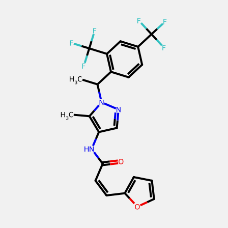 Cc1c(NC(=O)/C=C\c2ccco2)cnn1C(C)c1ccc(C(F)(F)F)cc1C(F)(F)F